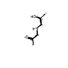 CC(=O)CNC[C@H](C)O